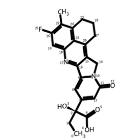 CC[C@@](O)(C(=O)O)c1cc2n(c(=O)c1)Cc1c-2nc2cc(F)c(C)c3c2c1CCC3